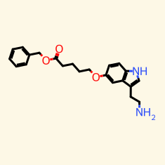 NCCc1c[nH]c2ccc(OCCCCC(=O)OCc3ccccc3)cc12